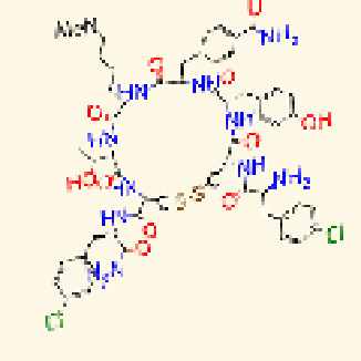 CNCCCC[C@@H]1NC(=O)[C@@H](Cc2ccc(C(N)=O)cc2)NC(=O)[C@H](Cc2ccc(O)cc2)NC(=O)[C@H](NC(=O)[C@@H](N)Cc2ccc(Cl)cc2)CSSC[C@@H](C(=O)N[C@H](Cc2ccc(Cl)cc2)C(N)=O)NC(=O)C(C(C)O)NC1=O